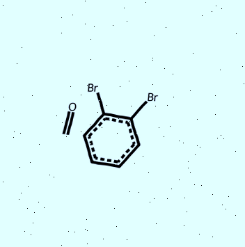 Brc1ccccc1Br.C=O